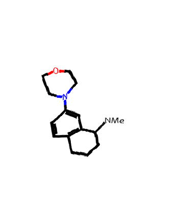 CNC1CCCc2ccc(N3CCOCC3)cc21